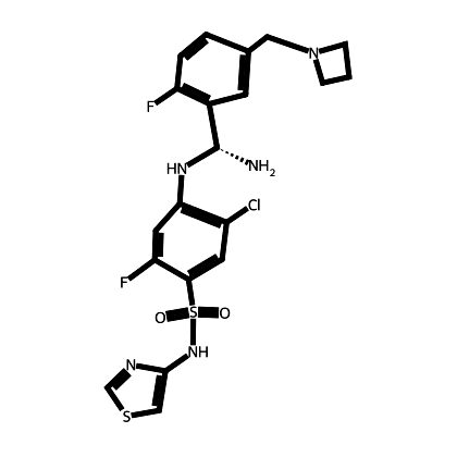 N[C@H](Nc1cc(F)c(S(=O)(=O)Nc2cscn2)cc1Cl)c1cc(CN2CCC2)ccc1F